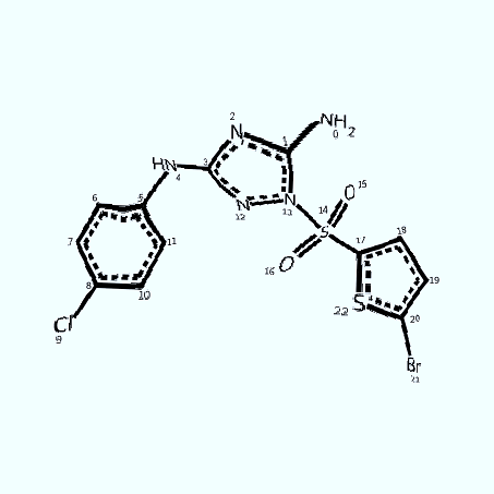 Nc1nc(Nc2ccc(Cl)cc2)nn1S(=O)(=O)c1ccc(Br)s1